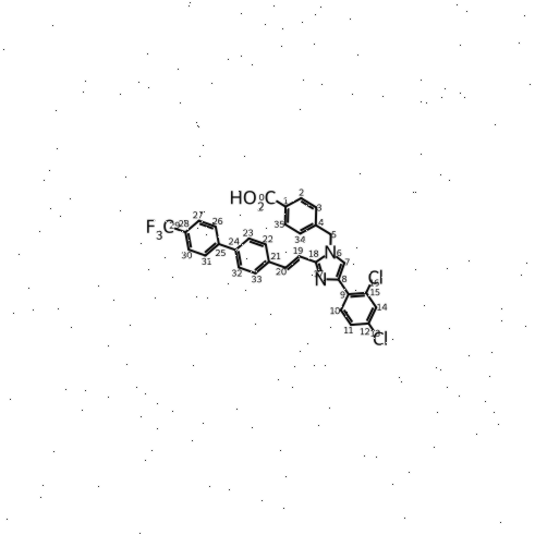 O=C(O)c1ccc(Cn2cc(-c3ccc(Cl)cc3Cl)nc2C=Cc2ccc(-c3ccc(C(F)(F)F)cc3)cc2)cc1